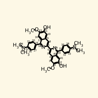 COc1cc2cc(-c3cc4cc(O)c(OC)cc4c(-c4ccc(N(C)C)cc4)n3)nc(-c3ccc(N(C)C)cc3)c2cc1O